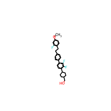 COc1ccc(CCc2ccc(-c3ccc(C4CCC(CO)CC4)c(F)c3F)cc2)c(F)c1